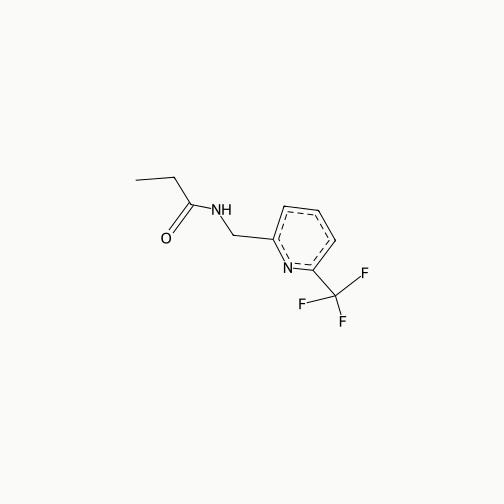 CCC(=O)NCc1cccc(C(F)(F)F)n1